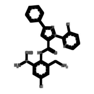 NCc1cc(Cl)cc(N(N)C=O)c1NC(=O)c1cc(-c2ccccc2)nn1-c1ncccc1Cl